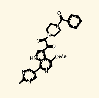 COc1cnc(-c2cnc(C)nc2)c2[nH]cc(C(=O)C(=O)N3CCN(C(=O)c4ccccc4)CC3)c12